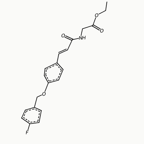 CCOC(=O)CNC(=O)/C=C/c1ccc(OCc2ccc(F)cc2)cc1